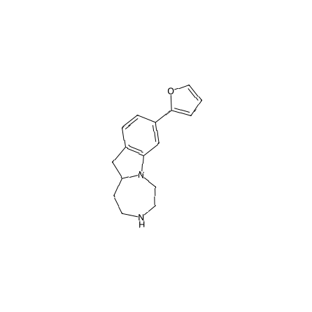 c1coc(-c2ccc3c(c2)N2CCNCCC2C3)c1